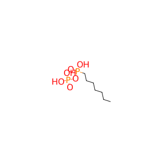 CCCCCCCP(=O)(O)OP(=O)(O)O